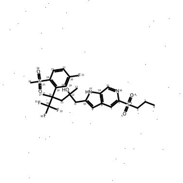 CCCS(=O)(=O)c1cc2cc(CC(C)(O)CC(C)(c3cc(F)ccc3S(C)(=O)=O)C(F)(F)F)[nH]c2cn1